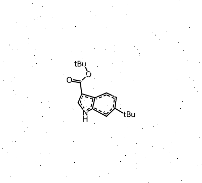 CC(C)(C)OC(=O)c1c[nH]c2cc(C(C)(C)C)ccc12